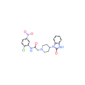 O=C(CN1CCC(n2c(=O)[nH]c3ccccc32)CC1)Nc1cc([N+](=O)[O-])ccc1Cl